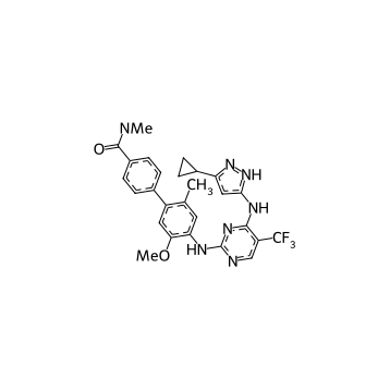 CNC(=O)c1ccc(-c2cc(OC)c(Nc3ncc(C(F)(F)F)c(Nc4cc(C5CC5)n[nH]4)n3)cc2C)cc1